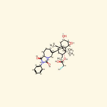 CC1CC[C@@]23C[C@H](O)C4OC4[C@@]2(C)[C@]1(C)[C@H](OC(=O)CF)C[C@@H](C1=CCCC2C(=O)N(c4ccccc4)C(=O)N2C1)[C@@H]3C